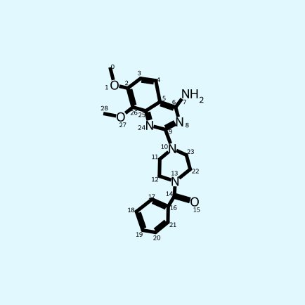 COc1ccc2c(N)nc(N3CCN(C(=O)c4ccccc4)CC3)nc2c1OC